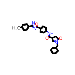 Cc1ccc(-c2noc(-c3ccc(NC(=O)C4CC(=O)N(Cc5ccccc5)C4)cc3)n2)cc1